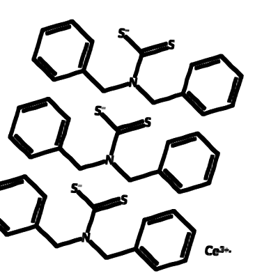 S=C([S-])N(Cc1ccccc1)Cc1ccccc1.S=C([S-])N(Cc1ccccc1)Cc1ccccc1.S=C([S-])N(Cc1ccccc1)Cc1ccccc1.[Ce+3]